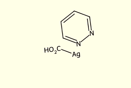 O=[C](O)[Ag].c1ccnnc1